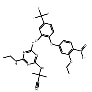 CCNc1nc(Cl)nc(NC(C)(C)C#N)n1.CCOc1cc(Oc2ccc(C(F)(F)F)cc2Cl)ccc1[N+](=O)[O-]